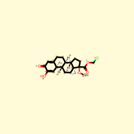 CCCO[C@]1(C(=O)OCCl)CC[C@H]2[C@@H]3CCC4=CC(=O)C(O)=C[C@]4(C)[C@H]3CC[C@@]21C